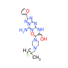 CC(C)(F)CN1CCN(C(=O)[C@H](CO)Nc2nc(N)n3nc(-c4ccco4)nc3n2)CC1